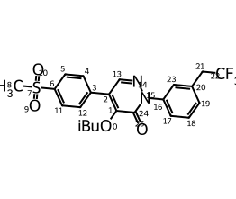 CC(C)COc1c(-c2ccc(S(C)(=O)=O)cc2)cnn(-c2cccc(CC(F)(F)F)c2)c1=O